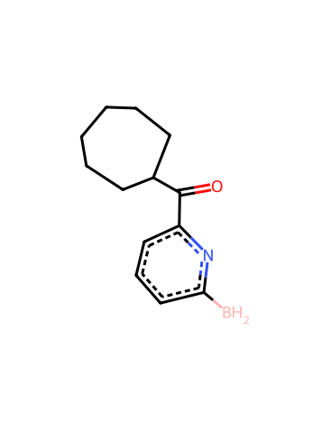 Bc1cccc(C(=O)C2CCCCCC2)n1